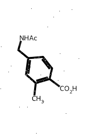 CC(=O)NCc1ccc(C(=O)O)c(C)c1